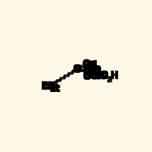 CCN(CC)CCCCCCCCCCCCOc1ccc(C2(c3ccccc3)OC(=O)CC(O)(CC(=O)O)C(=O)OC2(Cl)c2ccccc2)cc1